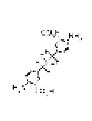 Nc1ccc(C(F)(F)C(F)(F)C(F)(F)c2ccc(N)c(C(=O)O)c2)cc1C(=O)O